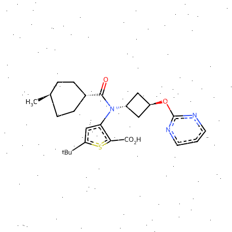 CC(C)(C)c1cc(N(C(=O)[C@H]2CC[C@H](C)CC2)[C@H]2C[C@H](Oc3ncccn3)C2)c(C(=O)O)s1